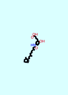 CC1=C(/C=C/C(C)=C/C=C/C(C)=C/C(=O)Nc2ccc(O)c(CCCC(=O)O)c2)C(C)(C)CCC1